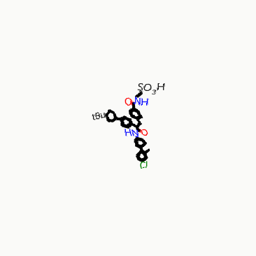 Cc1cc(Cl)ccc1-c1ccc(NC(=O)C(Cc2ccc(C(=O)NCCS(=O)(=O)O)cc2)c2ccc(C3CCC(C(C)(C)C)CC3)cc2)cc1